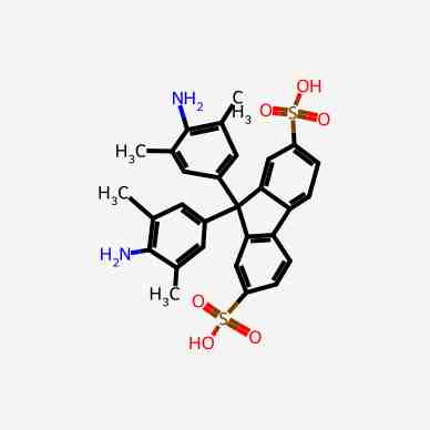 Cc1cc(C2(c3cc(C)c(N)c(C)c3)c3cc(S(=O)(=O)O)ccc3-c3ccc(S(=O)(=O)O)cc32)cc(C)c1N